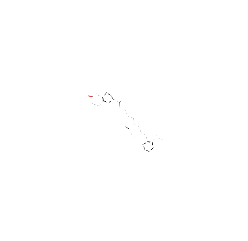 COc1ccccc1CCCN(CCCCC(=O)c1ccc2c(c1)CCC(=O)N2C)C(=O)O